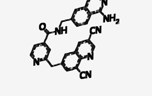 N#Cc1cnc2c(C#N)cc(Cc3cc(C(=O)NCc4ccc5c(N)nccc5c4)ccn3)cc2c1